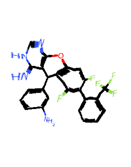 N=c1[nH]cnc2c1C(c1cccc(N)c1)c1c(cc(F)c(-c3ccccc3C(F)(F)F)c1F)O2